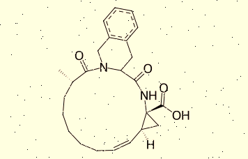 C[C@H]1CCCCC/C=C\[C@@H]2C[C@@]2(C(=O)O)NC(=O)C2Cc3ccccc3CN2C1=O